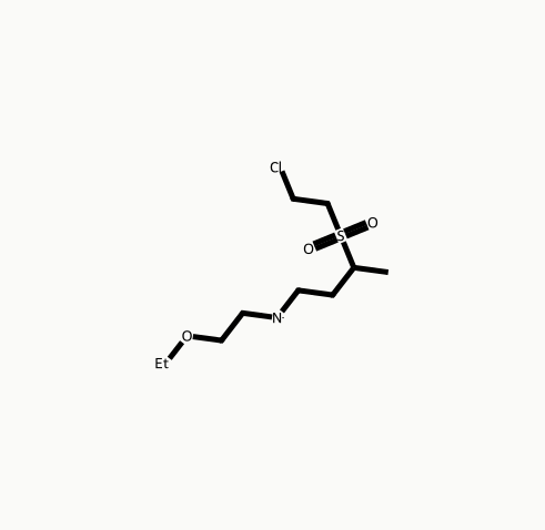 CCOCC[N]CCC(C)S(=O)(=O)CCCl